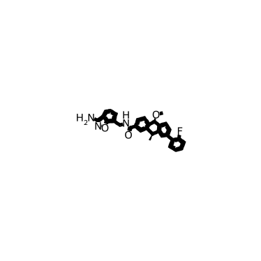 CO[C@@H]1c2ccc(C(=O)NCc3cccc4c(N)noc34)cc2[C@H](C)c2cc(-c3ccccc3F)ccc21